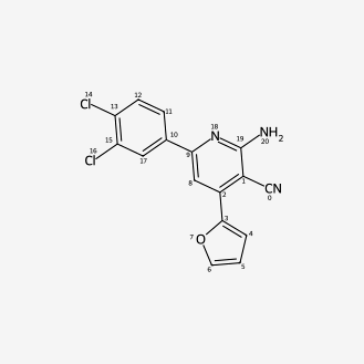 N#Cc1c(-c2ccco2)cc(-c2ccc(Cl)c(Cl)c2)nc1N